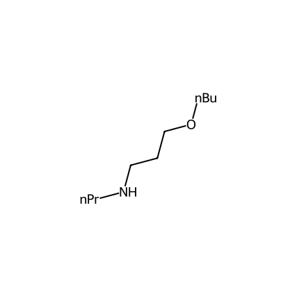 CCCCOCCCNCCC